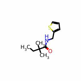 CCC(C)(C)C(=O)NCc1cccs1